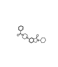 O=C(c1ccccc1)N1CCN(c2ccc3c(c2)C(=O)N(C2CCCCC2)C3)CC1